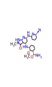 COc1c(Nc2cc(Nc3cccc(C#N)n3)nc3[nH]n(C)c(=O)c23)cccc1C(N)=O